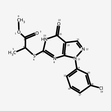 COC(=O)C(C)Sc1nc2c(cnn2-c2cccc(Cl)c2)c(=O)[nH]1